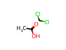 CC(=O)O.ClCCl